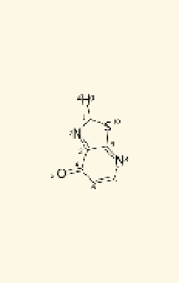 [2H]C1N=C2C(=O)C=CN=C2S1